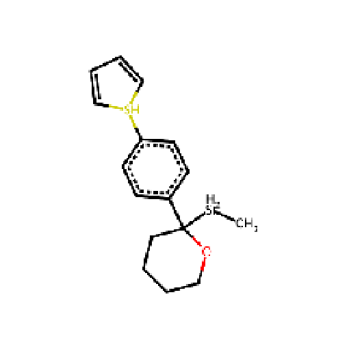 C[SiH2]C1(c2ccc([SH]3C=CC=C3)cc2)CCCCO1